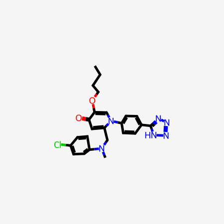 CCCCOc1cn(-c2ccc(-c3nnn[nH]3)cc2)c(CN(C)c2ccc(Cl)cc2)cc1=O